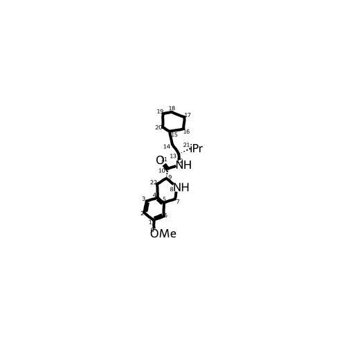 COc1ccc2c(c1)CN[C@@H](C(=O)N[C@H](CC1CCCCC1)C(C)C)C2